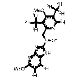 [2H]c1nc(C[S+]([O-])c2nc3nc(OC)c([2H])c([2H])c3[nH]2)c(C([2H])([2H])[2H])c(OC)c1C([2H])([2H])[2H]